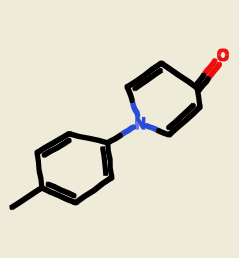 Cc1ccc(-n2ccc(=O)cc2)cc1